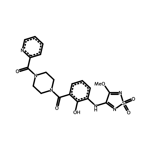 COC1=NS(=O)(=O)N=C1Nc1cccc(C(=O)N2CCN(C(=O)c3ccccn3)CC2)c1O